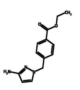 CCOC(=O)c1ccc(Cn2ccc(N)n2)cc1